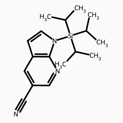 CC(C)[Si](C(C)C)(C(C)C)n1ccc2cc(C#N)cnc21